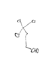 O=CCCC(Cl)(Cl)Cl